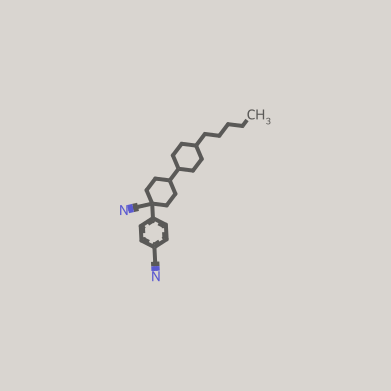 CCCCCC1CCC(C2CCC(C#N)(c3ccc(C#N)cc3)CC2)CC1